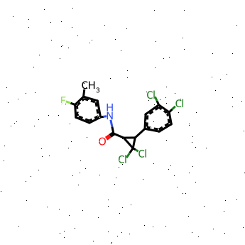 Cc1cc(NC(=O)C2C(c3ccc(Cl)c(Cl)c3)C2(Cl)Cl)ccc1F